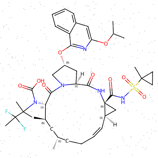 CC(C)Oc1cc2ccccc2c(O[C@@H]2C[C@H]3C(=O)N[C@]4(C(=O)NS(=O)(=O)C5(C)CC5)C[C@H]4C=CCC[C@H](C)C[C@@H](C)[C@H](N(C(=O)O)C(C)(C)C(C)(F)F)C(=O)N3C2)n1